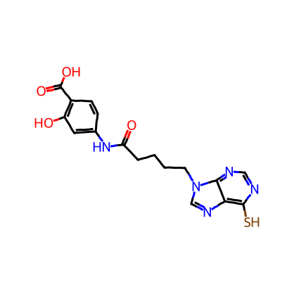 O=C(CCCCn1cnc2c(S)ncnc21)Nc1ccc(C(=O)O)c(O)c1